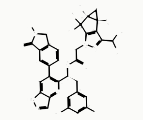 CN1Cc2ccc(-c3cc4[nH]ncc4nc3[C@H](Cc3cc(F)cc(F)c3)NC(=O)Cn3nc(C(F)F)c4c3C(F)(F)[C@@H]3C[C@H]43)cc2C1=O